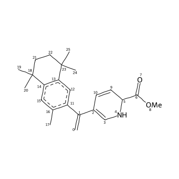 C=C(C1=CNC(C(=O)OC)C=C1)c1cc2c(cc1C)C(C)(C)CCC2(C)C